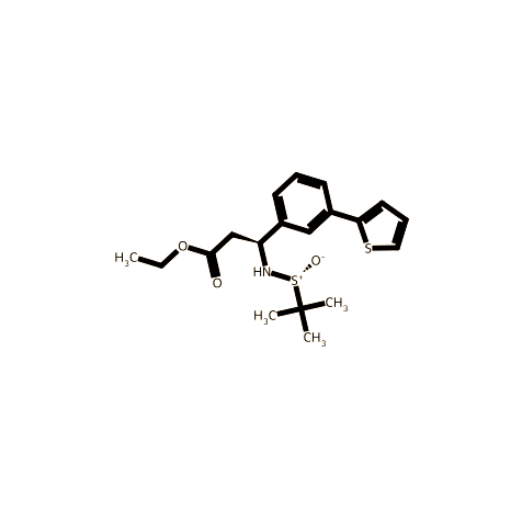 CCOC(=O)C[C@H](N[S@+]([O-])C(C)(C)C)c1cccc(-c2cccs2)c1